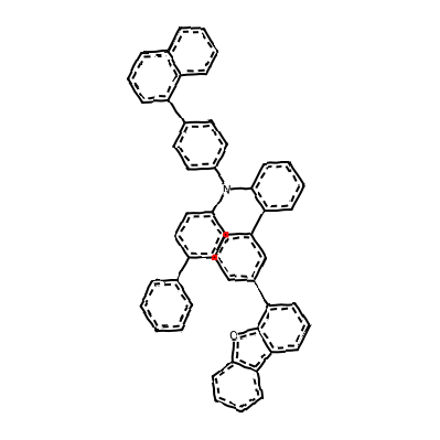 c1ccc(-c2ccc(N(c3ccc(-c4cccc5ccccc45)cc3)c3ccccc3-c3cccc(-c4cccc5c4oc4ccccc45)c3)cc2)cc1